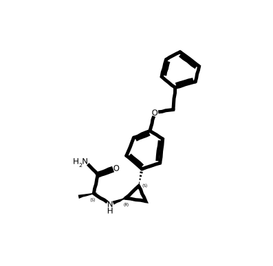 C[C@H](N[C@@H]1C[C@H]1c1ccc(OCc2ccccc2)cc1)C(N)=O